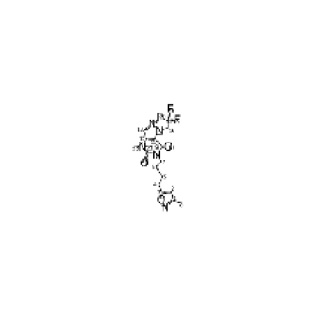 Cc1cc(CCCCn2c(=O)c3c(cnn3CC(F)(F)F)n(C)c2=O)on1